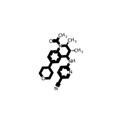 CC(=O)N1c2ccc(C3CCOCC3)cc2C(Nc2ccc(C#N)cn2)[C@@H](C)[C@@H]1C